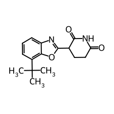 CC(C)(C)c1cccc2nc(C3CCC(=O)NC3=O)oc12